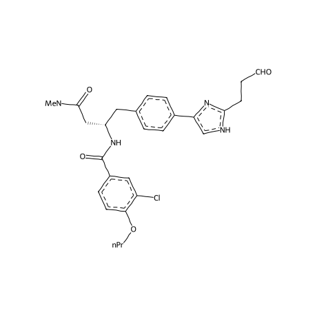 CCCOc1ccc(C(=O)N[C@H](CC(=O)NC)Cc2ccc(-c3c[nH]c(CCC=O)n3)cc2)cc1Cl